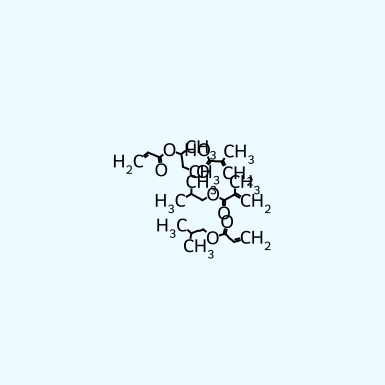 C=C(C)C(=O)O.C=C(C)C(=O)OCC(C)C.C=CC(=O)OC(C)CC.C=CC(=O)OCC(C)C